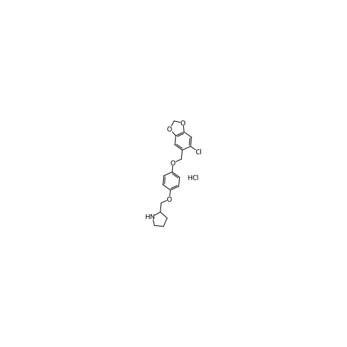 Cl.Clc1cc2c(cc1COc1ccc(OCC3CCCN3)cc1)OCO2